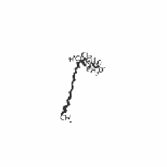 CCCCCCCCCCCCCCCCC(O)(CC)C[N+](C)(C)CCC(=O)[O-]